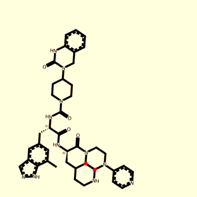 Cc1cc(C[C@H](NC(=O)N2CCC(N3Cc4ccccc4NC3=O)CC2)C(=O)N[C@H](CC2CCNCC2)C(=O)N2CCN(c3ccncc3)CC2)cc2cn[nH]c12